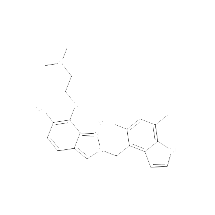 COc1cc(C)c2[nH]ccc2c1Cn1cc2ccc(C#N)c(NCCN(C)C)c2n1